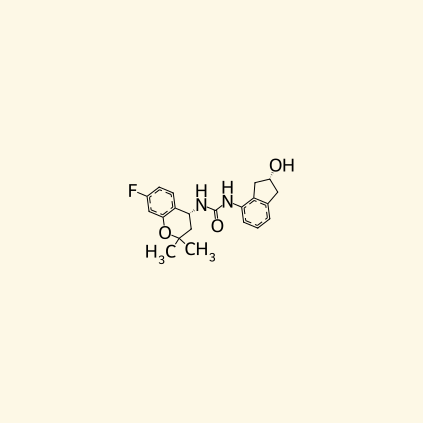 CC1(C)C[C@@H](NC(=O)Nc2cccc3c2C[C@H](O)C3)c2ccc(F)cc2O1